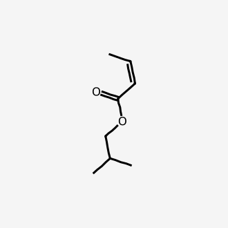 C/C=C\C(=O)OCC(C)C